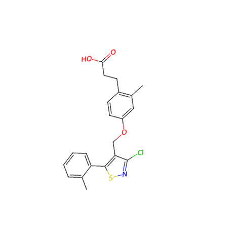 Cc1cc(OCc2c(Cl)nsc2-c2ccccc2C)ccc1CCC(=O)O